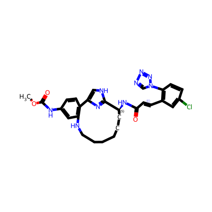 COC(=O)Nc1ccc2c(c1)NCCCCCC[C@H](NC(=O)/C=C/c1cc(Cl)ccc1-n1cnnn1)c1nc-2c[nH]1